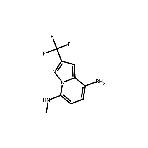 Bc1ccc(NC)n2nc(C(F)(F)F)cc12